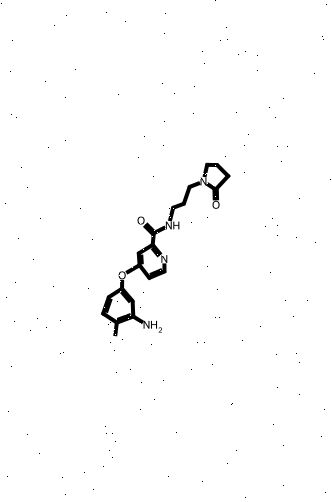 Cc1ccc(Oc2ccnc(C(=O)NCCCN3CCCC3=O)c2)cc1N